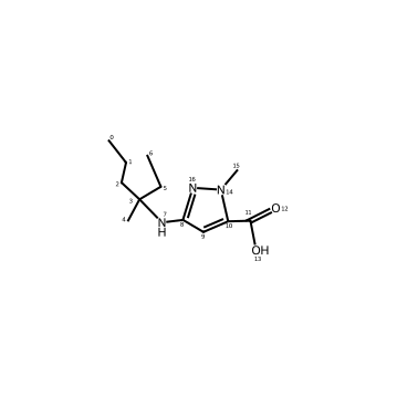 CCCC(C)(CC)Nc1cc(C(=O)O)n(C)n1